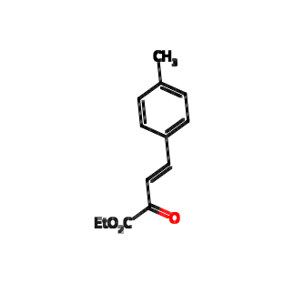 CCOC(=O)C(=O)C=Cc1ccc(C)cc1